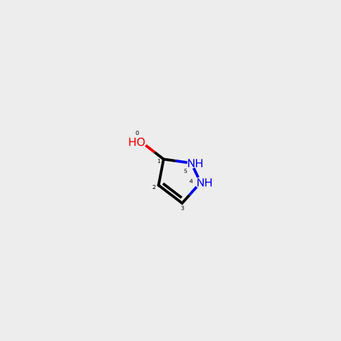 OC1C=CNN1